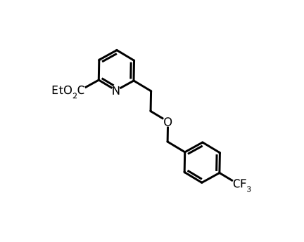 CCOC(=O)c1cccc(CCOCc2ccc(C(F)(F)F)cc2)n1